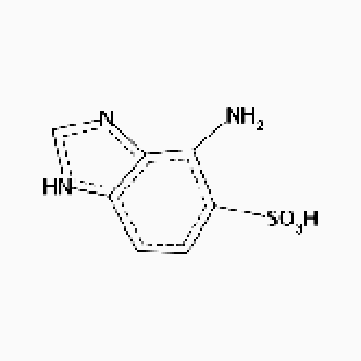 Nc1c(S(=O)(=O)O)ccc2[nH]cnc12